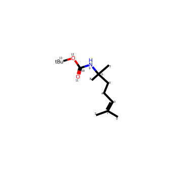 CC(C)=CCCC(C)(C)NC(=O)OC(C)(C)C